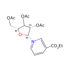 CCOC(=O)c1ccc[n+]([C@@H]2O[C@H](COC(C)=O)C(OC(C)=O)[C@@H]2OC(C)=O)c1